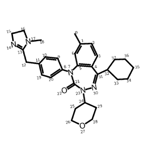 Cc1ccc2c(c1)N(c1ccc(CC3=NCCN3C)cc1)C(=O)N(C1CCOCC1)N=C2C1CCCCC1